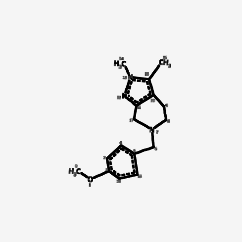 COc1ccc(CN2CCc3c(nn(C)c3C)C2)cc1